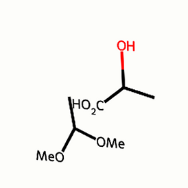 CC(O)C(=O)O.COC(C)OC